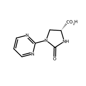 O=C(O)[C@H]1CN(c2ncccn2)C(=O)N1